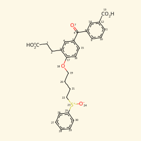 O=C(O)CCc1cc(C(=O)c2cccc(C(=O)O)c2)ccc1OCCCC[S+]([O-])c1ccccc1